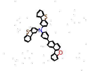 c1ccc2c(c1)oc1ccc3cc(-c4ccc(N(c5ccc6sc7ccccc7c6c5)c5ccc6sc7ccccc7c6c5)cc4)ccc3c12